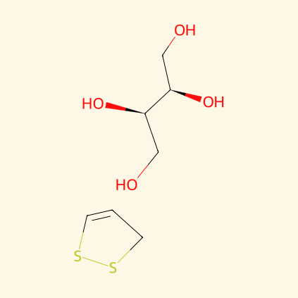 C1=CSSC1.OC[C@@H](O)[C@H](O)CO